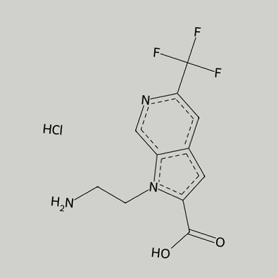 Cl.NCCn1c(C(=O)O)cc2cc(C(F)(F)F)ncc21